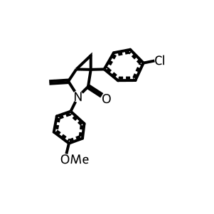 C=C1C2CC2(c2ccc(Cl)cc2)C(=O)N1c1ccc(OC)cc1